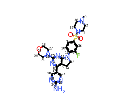 CN1CCN(S(=O)(=O)c2ccc(N3CCc4c(-c5cnc(N)nc5)nc(N5CCOCC5)nc43)c(F)c2)CC1